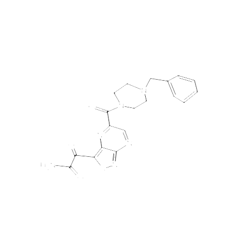 NC(=O)C(=O)c1snc2ncc(C(=O)N3CCN(Cc4ccccc4)CC3)nc12